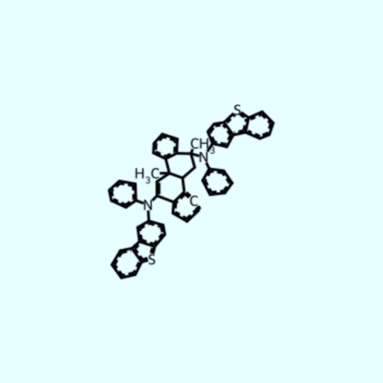 CC12C=C(N(c3ccccc3)c3ccc4sc5ccccc5c4c3)c3ccccc3C1CC(C)(N(c1ccccc1)c1ccc3sc4ccccc4c3c1)c1ccccc12